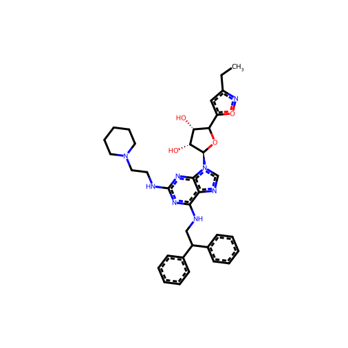 CCc1cc(C2O[C@@H](n3cnc4c(NCC(c5ccccc5)c5ccccc5)nc(NCCN5CCCCC5)nc43)[C@H](O)[C@@H]2O)on1